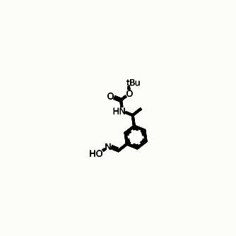 CC(NC(=O)OC(C)(C)C)c1cccc(C=NO)c1